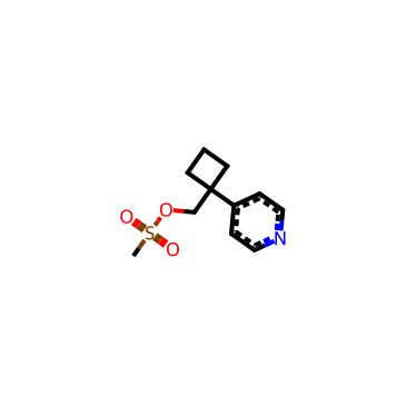 CS(=O)(=O)OCC1(c2ccncc2)CCC1